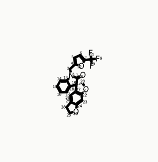 O=C1N(Cc2ccc(C(F)(F)F)o2)c2ccccc2[C@@]12COc1cc3c(cc12)CCO3